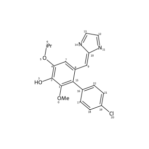 COc1c(O)c(OC(C)C)cc(C=C2N=CC=N2)c1-c1ccc(Cl)cc1